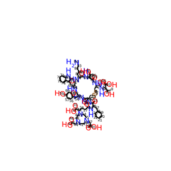 C[C@@H](O)[C@H](NC(=O)[C@@H]1CSSC[C@H](NC(=O)[C@@H](Cc2ccccc2)NC(=O)CCC(C(=O)O)N2CCN(CC(=O)O)CCN(CC(=O)O)CC2)C(=O)N[C@@H](Cc2ccc(O)cc2)C(=O)N[C@H](Cc2c[nH]c3ccccc23)C(=O)N[C@@H](CCCCN)C(=O)N[C@@H]([C@@H](C)O)C(=O)N1)C(=O)O